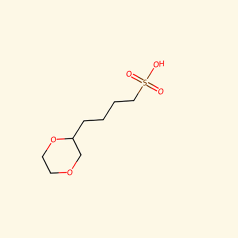 O=S(=O)(O)CCCCC1COCCO1